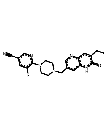 CCc1cc2ncc(CN3CCN(c4ncc(C#N)cc4F)CC3)cc2[nH]c1=O